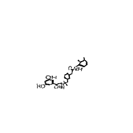 Cc1cccc(CNC(=O)Cc2cccc(CC(C)(C)NCC(O)c3cc(O)cc(O)c3)c2)c1C